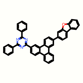 c1ccc(-c2nc(-c3ccccc3)nc(-c3ccc4c5ccccc5c5cc(-c6ccc7c(c6)oc6ccccc67)ccc5c4c3)n2)cc1